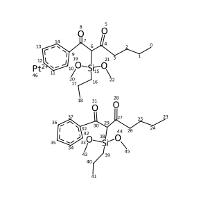 CCCCC(=O)C(C(=O)c1ccccc1)[Si](CCC)(OC)OC.CCCCC(=O)C(C(=O)c1ccccc1)[Si](CCC)(OC)OC.[Pt+2]